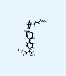 CC(C)C(C=N)[C@H]1C=CC(C2=CC[C@H](C3C4C[C@]43CCCCN)C=C2)=CC1